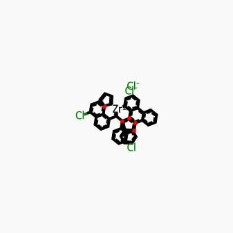 Clc1cccc2c([C](c3cccc4c(Cl)cccc34)=[Zr+2]([C]3=CC=CC3)[c]3cccc4c3c3c(c5ccccc54)-c4ccccc4C3)cccc12.[Cl-].[Cl-]